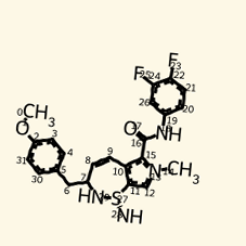 COc1ccc(CC2C=Cc3c(cn(C)c3C(=O)Nc3ccc(F)c(F)c3)S(=N)N2)cc1